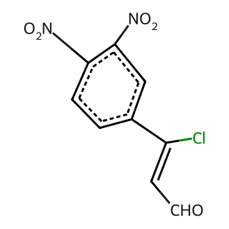 O=CC=C(Cl)c1ccc([N+](=O)[O-])c([N+](=O)[O-])c1